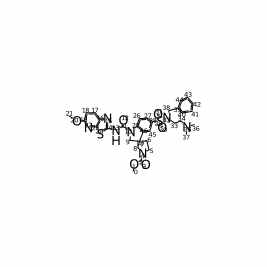 COC(=O)N1CC[C@@]2(C1)CN(C(=O)Nc1nc3ccc(OC)nc3s1)c1ccc(S(=O)(=O)N(CCN(C)C)Cc3ccccc3)cc12